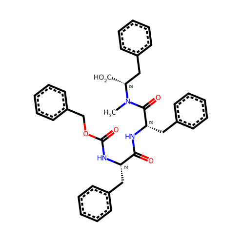 CN(C(=O)[C@H](Cc1ccccc1)NC(=O)[C@H](Cc1ccccc1)NC(=O)OCc1ccccc1)[C@@H](Cc1ccccc1)C(=O)O